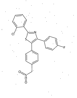 O=[SH](=O)Cc1ccc(-c2sc(-c3ccccc3Cl)nc2-c2ccc(F)cc2)cc1